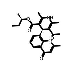 CC[C@@H](C)OC(=O)C1=C(C)NC(C)=C(C(C)=O)[C@H]1c1cccc2c(=O)cc(C)oc12